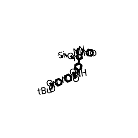 CC(C)(C)OC(=O)N1CCC(N2CCC(S(=O)(=O)Nc3ccc(-c4cc5c(N6CCOCC6)ncnc5n4COCC[Si](C)(C)C)cc3)CC2)CC1